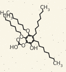 CCCCCCCCc1c(O)c(OC(=O)O)c(OCCCCCCC)c(OCCCCCCC)c1CCCCCCCC